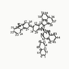 c1ccc2cc(-c3nc(-n4c5c(c6cc(-c7ccc8sc9ccccc9c8c7)ccc64)-c4cccc6cccc-5c46)nc4ccccc34)ccc2c1